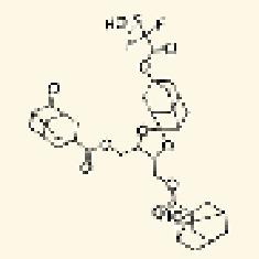 O=C1C2CC3CC1CC(C(=O)OCC1OC4(OC1COC(=O)C15CC6CC(C1)C(O)C(C6)C5)C1CC5CC4CC(OC(=O)C(F)(F)S(=O)(=O)O)(C5)C1)(C3)C2